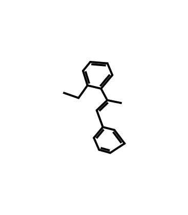 CCc1ccccc1C(C)=Cc1ccccc1